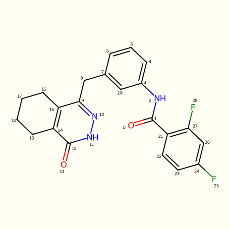 O=C(Nc1cccc(Cc2n[nH]c(=O)c3c2CCCC3)c1)c1ccc(F)cc1F